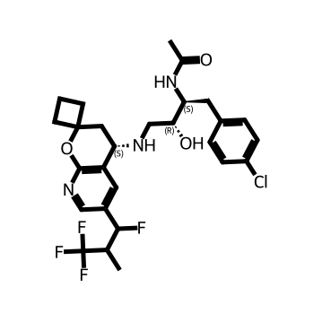 CC(=O)N[C@@H](Cc1ccc(Cl)cc1)[C@H](O)CN[C@H]1CC2(CCC2)Oc2ncc(C(F)C(C)C(F)(F)F)cc21